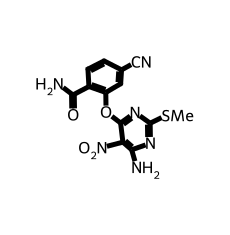 CSc1nc(N)c([N+](=O)[O-])c(Oc2cc(C#N)ccc2C(N)=O)n1